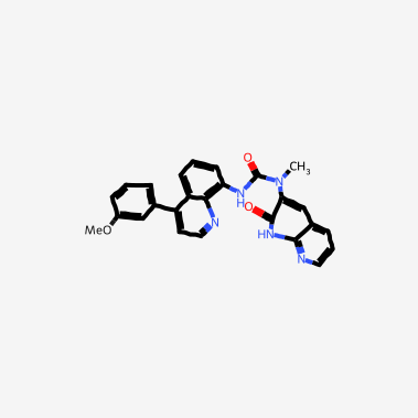 COc1cccc(-c2ccnc3c(NC(=O)N(C)c4cc5cccnc5[nH]c4=O)cccc23)c1